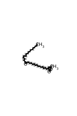 CCCCCCCCCCCC/C=C\CCC1OC1CCCCCCCCCCCCCCC1=CC(C)OC1=O